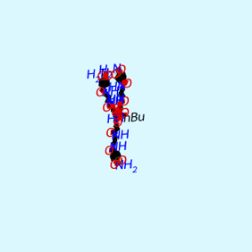 CCCCC(=O)NC(COCCC(=O)NCCCNC(=O)c1ccc(S(N)(=O)=O)cc1)(COCCC(=O)NCCCNC(=O)c1ccc(S(N)(=O)=O)cc1)COCCC(=O)NCCCNC(=O)c1ccc(S(N)(=O)=O)cc1